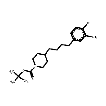 Cc1cc(CCCCC2CCN(C(=O)OC(C)(C)C)CC2)ccc1Br